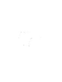 Cc1ccc(O)cc1N(C)C